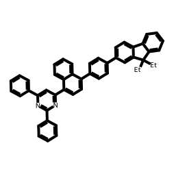 CCC1(CC)c2ccccc2-c2ccc(-c3ccc(-c4ccc(-c5cc(-c6ccccc6)nc(-c6ccccc6)n5)c5ccccc45)cc3)cc21